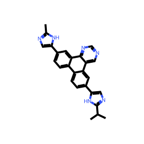 Cc1ncc(-c2ccc3c4ccc(-c5cnc(C(C)C)[nH]5)cc4c4cncnc4c3c2)[nH]1